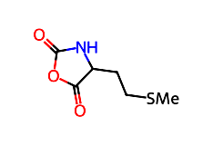 CSCCC1NC(=O)OC1=O